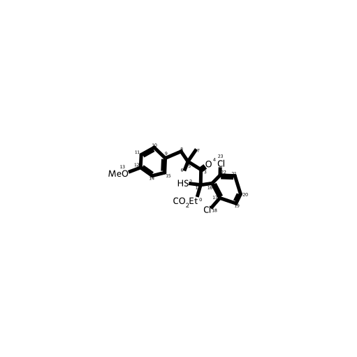 CCOC(=O)C(S)(C(=O)C(C)(C)Cc1ccc(OC)cc1)c1c(Cl)cccc1Cl